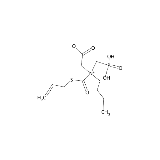 C=CCSC(=O)[N+](CCCC)(CC(=O)[O-])CP(=O)(O)O